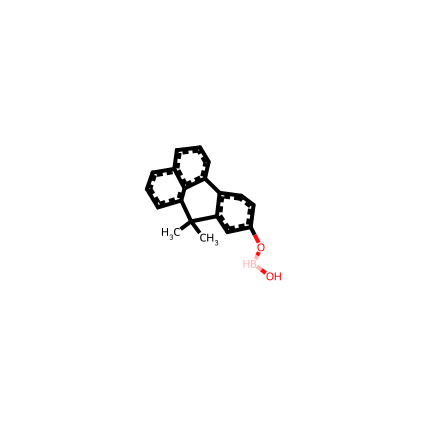 CC1(C)c2cc(OBO)ccc2-c2cccc3cccc1c23